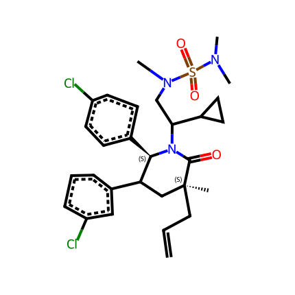 C=CC[C@@]1(C)CC(c2cccc(Cl)c2)[C@@H](c2ccc(Cl)cc2)N(C(CN(C)S(=O)(=O)N(C)C)C2CC2)C1=O